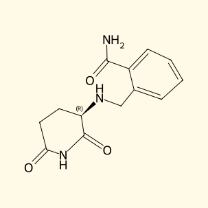 NC(=O)c1ccccc1CN[C@@H]1CCC(=O)NC1=O